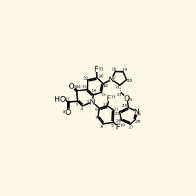 O=C(O)c1cn(-c2ccc(F)cc2F)c2cc(N3CCC[C@@H]3COc3ccccn3)c(F)cc2c1=O